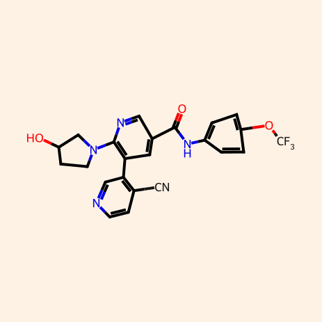 N#Cc1ccncc1-c1cc(C(=O)Nc2ccc(OC(F)(F)F)cc2)cnc1N1CCC(O)C1